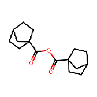 O=C(OC(=O)C12CCC(CC1)C2)C12CCC(CC1)C2